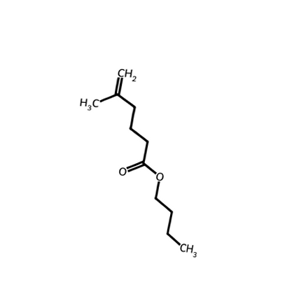 C=C(C)CCCC(=O)OCCCC